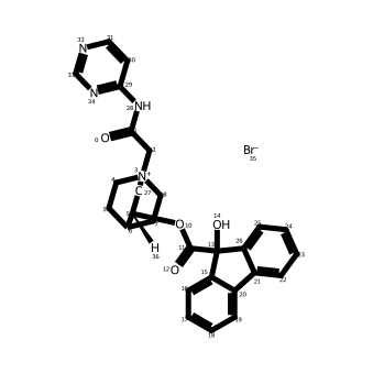 O=C(C[N+]12CCC(CC1)[C@@H](OC(=O)C1(O)c3ccccc3-c3ccccc31)C2)Nc1ccncn1.[Br-]